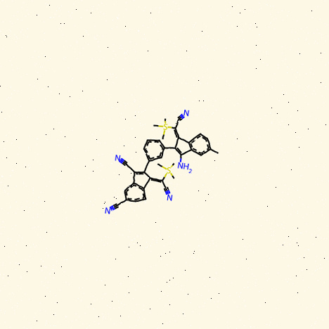 Cc1ccc2c(c1)C(N)=C(c1cccc(C3=C(C#N)c4cc(C#N)ccc4/C3=C(\C#N)S(C)(C)C)c1)/C2=C(/C#N)S(C)(C)C